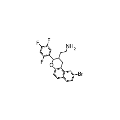 NCCC1Cc2c(ccc3ccc(Br)cc23)OC1c1cc(F)c(F)cc1F